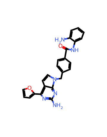 Nc1nc(-c2ccco2)c2ccn(Cc3ccc(C(=O)Nc4ccccc4N)cc3)c2n1